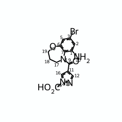 Nc1cc(Br)cc2c1N(C(=O)c1cnn(C(=O)O)c1)CCCO2